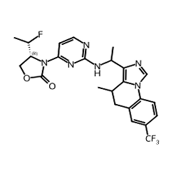 CC1Cc2cc(C(F)(F)F)ccc2-n2cnc(C(C)Nc3nccc(N4C(=O)OC[C@@H]4C(C)F)n3)c21